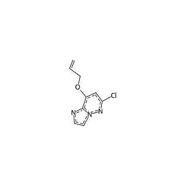 C=CCOc1cc(Cl)nn2ccnc12